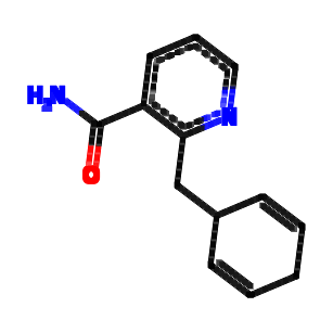 NC(=O)c1cccnc1CC1C=CCC=C1